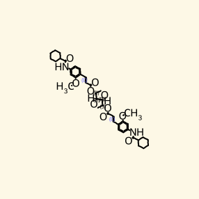 COc1cc(NC(=O)C2CCCCC2)ccc1/C=C/C(=O)O[C@H]1CO[C@H]2[C@@H]1OC[C@H]2OC(=O)/C=C/c1ccc(NC(=O)C2CCCCC2)cc1OC